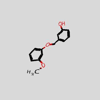 COc1cccc(OCc2cccc(O)c2)c1